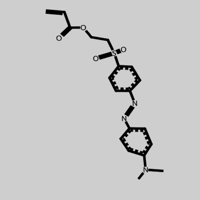 C=CC(=O)OCCS(=O)(=O)c1ccc(N=Nc2ccc(N(C)C)cc2)cc1